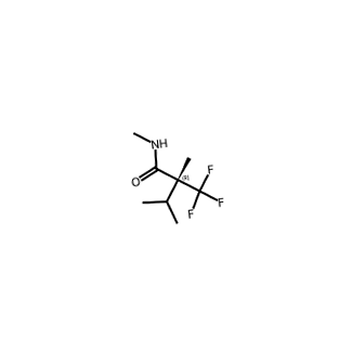 CNC(=O)[C@@](C)(C(C)C)C(F)(F)F